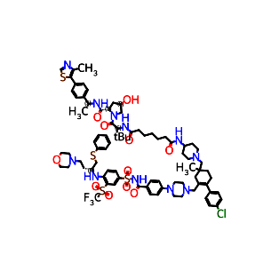 Cc1ncsc1-c1ccc([C@H](C)NC(=O)[C@@H]2C[C@@H](O)CN2C(=O)[C@@H](NC(=O)CCCCCC(=O)NC2CCN(CC3(C)CCC(c4ccc(Cl)cc4)=C(CN4CCN(c5ccc(C(=O)NS(=O)(=O)c6ccc(N[C@H](CCN7CCOCC7)CSc7ccccc7)c(S(=O)(=O)C(F)(F)F)c6)cc5)CC4)C3)CC2)C(C)(C)C)cc1